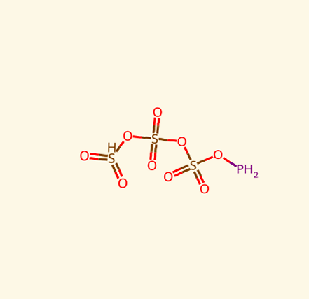 O=[SH](=O)OS(=O)(=O)OS(=O)(=O)OP